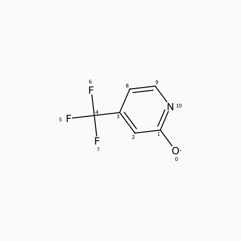 [O]c1cc(C(F)(F)F)ccn1